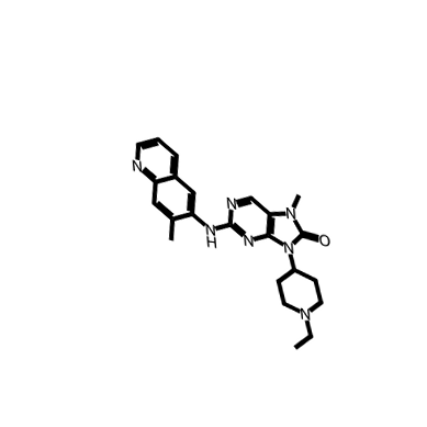 CCN1CCC(n2c(=O)n(C)c3cnc(Nc4cc5cccnc5cc4C)nc32)CC1